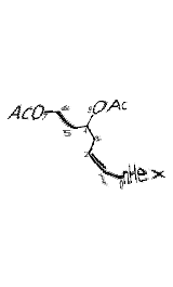 CCCCCC/C=C\CC(CCOC(C)=O)OC(C)=O